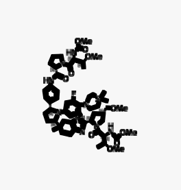 COC[C@H]1C[C@@H](c2nc3c([nH]2)CC(C)([C@H]2CC[C@H](c4ccc(NC(=O)[C@@H]5CCCN5C(=O)[C@@H](NC(=O)OC)[C@@H](C)OC)cc4)N2c2cc(F)c(N4CC[Si](C)(C)CC4)c(F)c2)C=C3)N(C(=O)[C@@H](NC(=O)OC)[C@@H](C)OC)C1